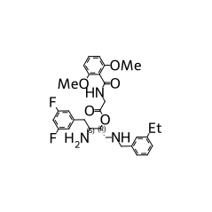 CCc1cccc(CNC[C@@H](OC(=O)CNC(=O)c2c(OC)cccc2OC)[C@@H](N)Cc2cc(F)cc(F)c2)c1